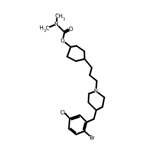 CN(C)C(=O)OC1CCC(CCCN2CCC(Cc3cc(Cl)ccc3Br)CC2)CC1